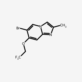 Cc1cn2cc(Br)c(OCC(F)(F)F)cc2n1